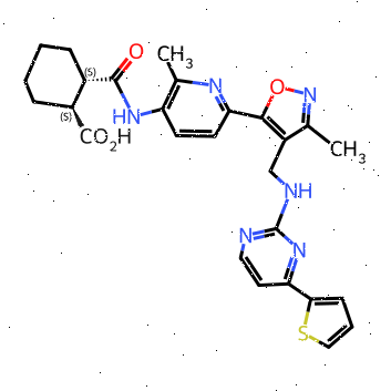 Cc1nc(-c2onc(C)c2CNc2nccc(-c3cccs3)n2)ccc1NC(=O)[C@H]1CCCC[C@@H]1C(=O)O